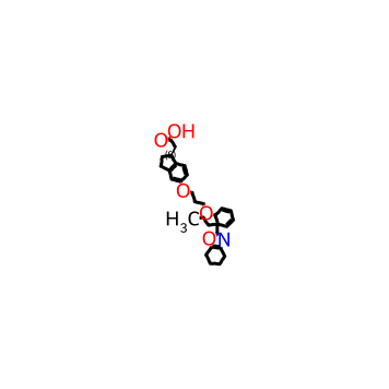 CCCC1(c2nc3c(o2)CCCC3)C=CC=CC1OCCCOc1ccc2c(c1)CC[C@H]2CC(=O)O